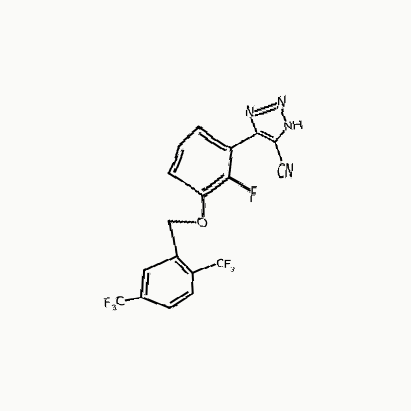 N#Cc1[nH]nnc1-c1cccc(OCc2cc(C(F)(F)F)ccc2C(F)(F)F)c1F